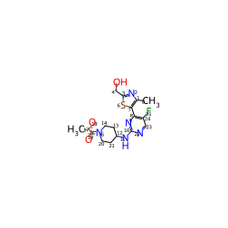 Cc1nc(CO)sc1-c1nc(NC2CCN(S(C)(=O)=O)CC2)ncc1F